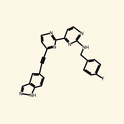 Fc1ccc(CNc2nccc(-c3nccc(C#Cc4ccc5[nH]ncc5c4)n3)n2)cc1